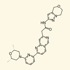 C[C@@H]1CN(c2cccc(-c3ccc4cnc(CC(=O)Nc5cc6n(n5)CCOC6)cc4n3)n2)C[C@H](C)O1